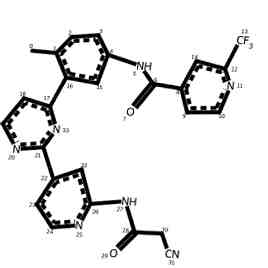 Cc1ccc(NC(=O)c2ccnc(C(F)(F)F)c2)cc1-c1ccnc(-c2ccnc(NC(=O)CC#N)c2)n1